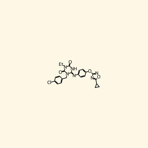 CCn1c(=O)[nH]/c(=N\c2ccc(Oc3noc(C4CC4)n3)cc2)n(Cc2ccc(Cl)cc2)c1=O